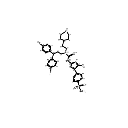 NS(=O)(=O)c1ccc(-c2nc(NC(=O)N(CCC3CCOCC3)CCC(c3ccc(F)cc3)c3ccc(F)cc3)sc2Cl)cc1